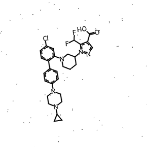 O=C(O)c1cnn(C2CCCN(c3cc(Cl)ccc3-c3ccc(N4CCN(C5CC5)CC4)cc3)C2)c1C(F)F